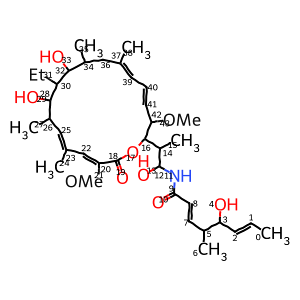 C/C=C/C(O)C(C)/C=C/C(=O)NC(O)C(C)C1OC(=O)/C(OC)=C/C(C)=C/C(C)C(O)C(CC)C(O)C(C)C/C(C)=C/C=C/C1OC